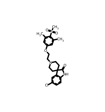 Cc1cc(OCCN2CCC3(CC2)C(=O)Nc2ccc(Cl)cc23)cc(C)c1S(C)(=O)=O